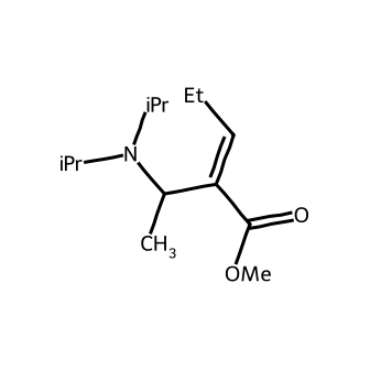 CCC=C(C(=O)OC)C(C)N(C(C)C)C(C)C